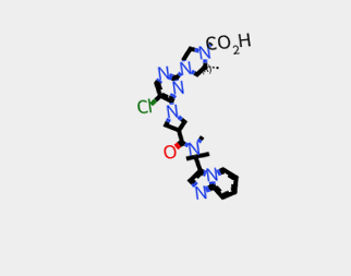 C[C@@H]1CN(c2ncc(Cl)c(N3CC(C(=O)N(C)C(C)(C)c4cnc5ccccn45)C3)n2)CCN1C(=O)O